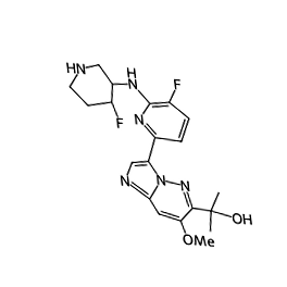 COc1cc2ncc(-c3ccc(F)c(NC4CNCCC4F)n3)n2nc1C(C)(C)O